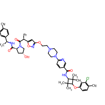 CC(C)[C@H](C(=O)N1C[C@H](O)C[C@H]1C(=O)N[C@@H](C)c1ccc(C#N)cc1)c1cc(OCCN2CCN(c3ccc(C(=O)NC4C(C)(C)C(Oc5ccc(C#N)c(Cl)c5)C4(C)C)cn3)CC2)no1